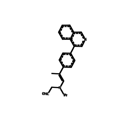 C/C(=C\N(CC=O)C(C)C)c1ccc(-c2cncc3ccccc23)cc1